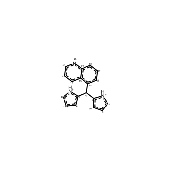 c1c[nH]c(C(c2cnc[nH]2)c2cccc3ncccc23)c1